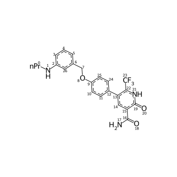 CCCNc1cccc(COc2ccc(-c3cc(C(N)=O)c(=O)[nH]c3C(F)(F)F)cc2)c1